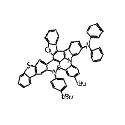 CC(C)(C)c1ccc(N2B3c4cc(C(C)(C)C)ccc4-n4c5cc(N(c6ccccc6)c6ccccc6)ccc5c5c6c(oc7ccccc76)c(c3c54)-c3cc4sc5ccccc5c4cc32)cc1